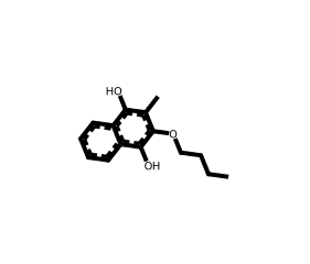 CCCCOc1c(C)c(O)c2ccccc2c1O